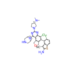 CN(C)[C@H]1CCN(c2nc(N3C4CCC3CNC4)c3c4c(c(-c5c(F)ccc6sc(N)c(C#N)c56)c(Cl)c3n2)COC4)C1